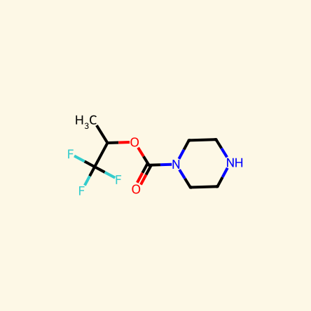 CC(OC(=O)N1CCNCC1)C(F)(F)F